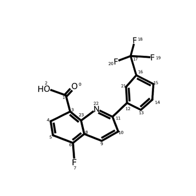 O=C(O)c1ccc(F)c2ccc(-c3cccc(C(F)(F)F)c3)nc12